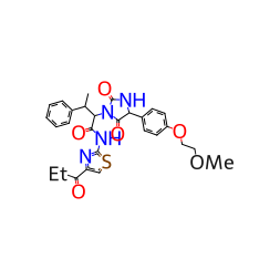 CCC(=O)c1csc(NC(=O)C(C(C)c2ccccc2)N2C(=O)NC(c3ccc(OCCOC)cc3)C2=O)n1